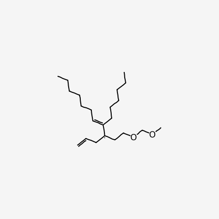 C=CC[C](CCOCOC)C(=CCCCCCC)CCCCCC